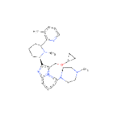 Cc1cccnc1C1CCC[C@H](c2nc3cccc(N4CCN(C)CC4)n3c2COC2CC2)N1C